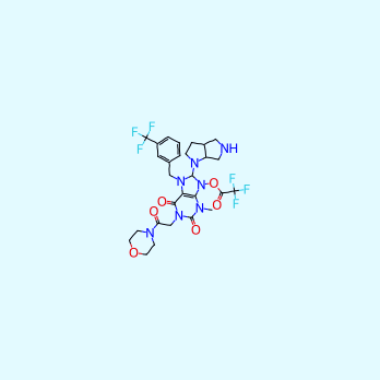 Cn1c2c(c(=O)n(CC(=O)N3CCOCC3)c1=O)N(Cc1cccc(C(F)(F)F)c1)C(N1CCC3CNCC31)N2OC(=O)C(F)(F)F